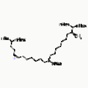 C=C(CCCCCCCN(CCCCCC/C=C\CCC(CCCC)CCCCCC)NC)C(CCCCCC)CCCCCC